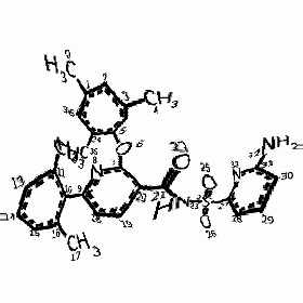 Cc1cc(C)c(Oc2nc(-c3c(C)cccc3C)ccc2C(=O)NS(=O)(=O)c2cccc(N)n2)c(C)c1